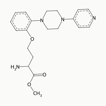 COC(=O)C(N)CCOc1ccccc1N1CCN(c2ccncc2)CC1